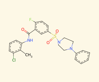 Cc1c(Cl)cccc1NC(=O)c1cc(S(=O)(=O)N2CCN(c3ccccc3)CC2)ccc1F